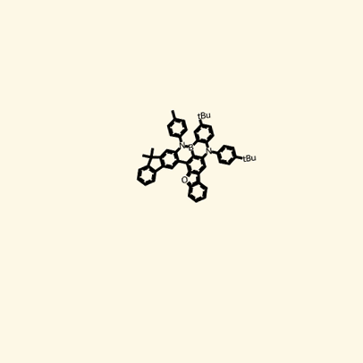 Cc1ccc(N2B3c4cc(C(C)(C)C)ccc4N(c4ccc(C(C)(C)C)cc4)c4cc5c(oc6ccccc65)c(c43)-c3cc4c(cc32)C(C)(C)c2ccccc2-4)cc1